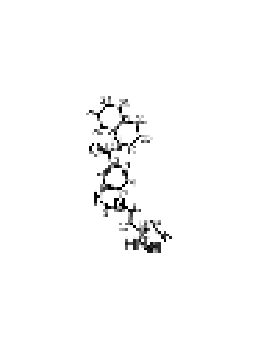 O=C(c1ccc2c(c1)ncn2CCc1nnn[nH]1)N1CCCC2CCCCC21